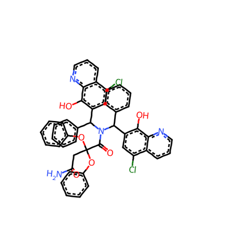 NC(=O)CC(Oc1ccccc1)(Oc1ccccc1)C(=O)N(C(c1ccccc1)c1cc(Cl)c2cccnc2c1O)C(c1ccccc1)c1cc(Cl)c2cccnc2c1O